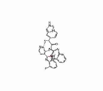 O=C1C(C2=CC3=CNSN3C=C2)Sc2nc[c]c(-c3nc4c(F)cccc4[nH]3)c2N1c1cnc2ccccc2n1